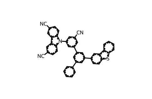 N#Cc1cc(-c2cc(-c3ccccc3)cc(-c3ccc4sc5ccccc5c4c3)c2)cc(-n2c3ccc(C#N)cc3c3cc(C#N)ccc32)c1